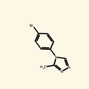 Cc1nncn1-c1ccc(Br)cc1